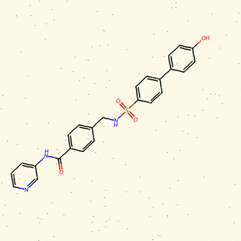 O=C(Nc1cccnc1)c1ccc(CNS(=O)(=O)c2ccc(-c3ccc(O)cc3)cc2)cc1